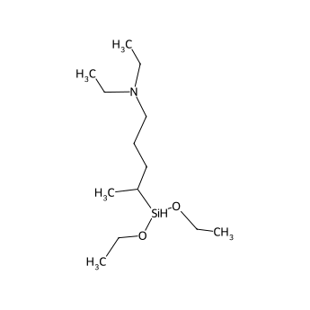 CCO[SiH](OCC)C(C)CCCN(CC)CC